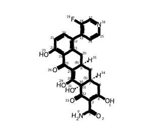 NC(=O)C1=C(O)C[C@@H]2C[C@@H]3Cc4c(-c5ccncc5F)ccc(O)c4C(=O)C3=C(O)[C@]2(O)C1=O